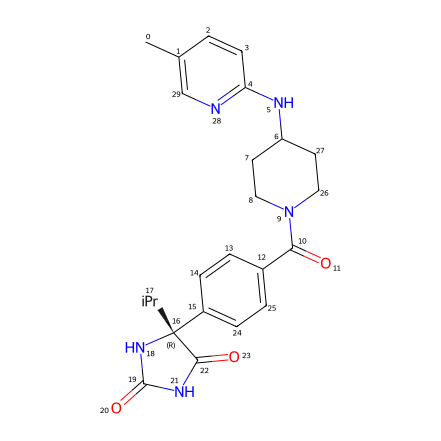 Cc1ccc(NC2CCN(C(=O)c3ccc([C@@]4(C(C)C)NC(=O)NC4=O)cc3)CC2)nc1